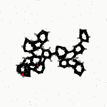 c1ccc(-c2cccc(-c3nc(-c4ccc(-c5cc(-c6ccccc6)ccc5-n5c6ccccc6c6ccccc65)cc4)nc(-n4c5ccccc5c5cccc(-c6cccc7c6oc6ccccc67)c54)n3)c2)cc1